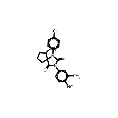 [C-]#[N+]c1ccc(N2C(=O)C3(CCCC3C)N(c3ccc(C)cc3)C2=S)cc1C